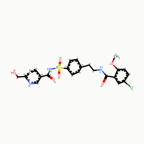 COc1ccc(Cl)cc1C(=O)NCCc1ccc(S(=O)(=O)NC(=O)c2ccc(CO)nc2)cc1